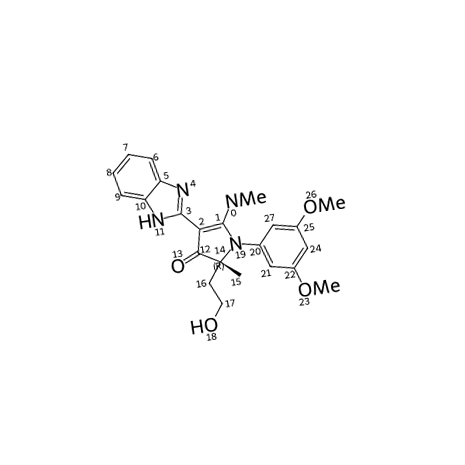 CNC1=C(c2nc3ccccc3[nH]2)C(=O)[C@@](C)(CCO)N1c1cc(OC)cc(OC)c1